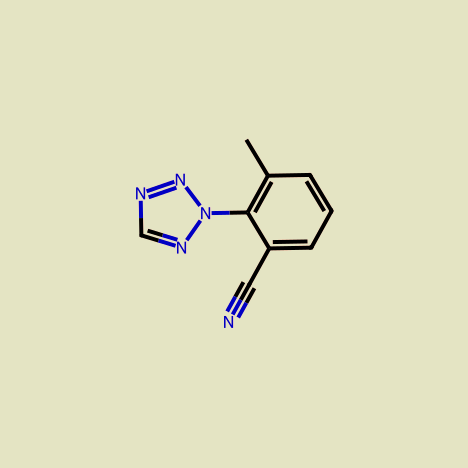 Cc1cccc(C#N)c1-n1ncnn1